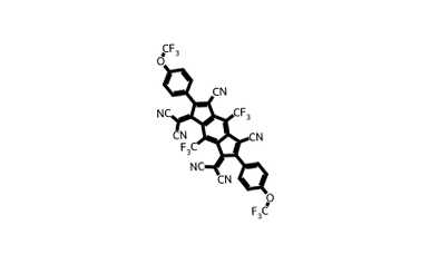 N#CC(C#N)=C1C(c2ccc(OC(F)(F)F)cc2)=C(C#N)c2c1c(C(F)(F)F)c1c(c2C(F)(F)F)C(C#N)=C(c2ccc(OC(F)(F)F)cc2)C1=C(C#N)C#N